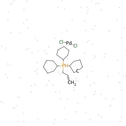 C=CC[PH](C1CCCCC1)(C1CCCCC1)C1CCCCC1.[Cl][Pd][Cl]